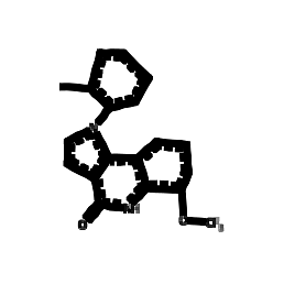 Cc1ccccc1-n1ccc2c(=O)[nH]c3c(OC(F)(F)F)cccc3c21